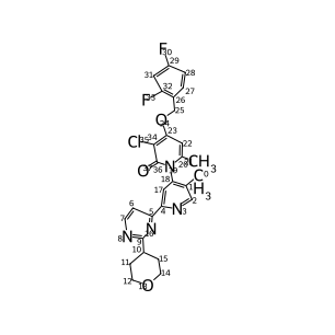 Cc1cnc(-c2ccnc(C3CCOCC3)n2)cc1-n1c(C)cc(OCc2ccc(F)cc2F)c(Cl)c1=O